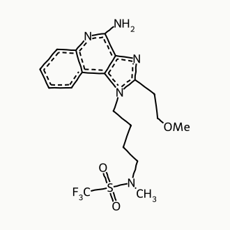 COCCc1nc2c(N)nc3ccccc3c2n1CCCCN(C)S(=O)(=O)C(F)(F)F